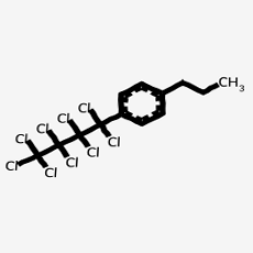 CC[CH]c1ccc(C(Cl)(Cl)C(Cl)(Cl)C(Cl)(Cl)C(Cl)(Cl)Cl)cc1